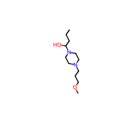 CCCC(O)N1CCN(CCCOC)CC1